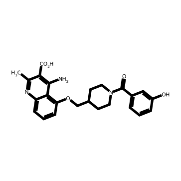 Cc1nc2cccc(OCC3CCN(C(=O)c4cccc(O)c4)CC3)c2c(N)c1C(=O)O